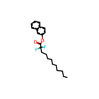 CCCCCCCCCCC(F)(F)C(=O)Oc1ccc2ccccc2c1